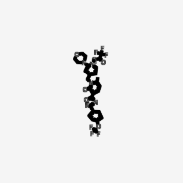 Cc1ccc(-c2nc(-c3ccc(OC(F)(F)F)cc3)no2)c(=O)n1Cc1cc[n+](OC(=O)C(F)(F)F)c(N2CCOCC2)c1